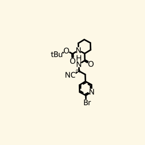 CC(C)(C)OC(=O)N1CCCCC1C(=O)N[C@H](C#N)Cc1ccc(Br)nc1